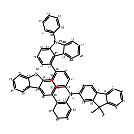 CC1(C)c2ccccc2-c2ccc(N(C3=C(c4ccc5sc6ccccc6c5c4)CCC=C3)c3ccc(-c4cccc5c4c4ccccc4n5-c4ccccc4)cc3)cc21